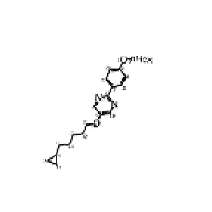 CCCCCCOc1ccc(-c2ncc(OCCCCCC3CC3)cn2)cc1